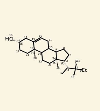 CCC(F)(F)C(C)[C@H]1CCC2C3CC=C4C[C@@H](O)CC[C@]4(C)C3CC[C@@]21C